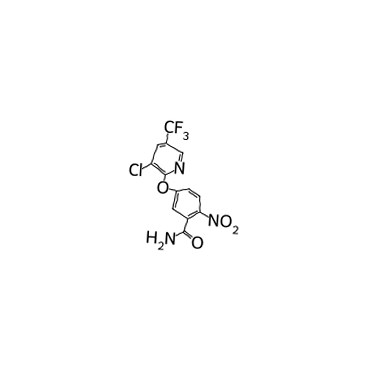 NC(=O)c1cc(Oc2ncc(C(F)(F)F)cc2Cl)ccc1[N+](=O)[O-]